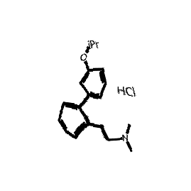 CC(C)Oc1cccc(-c2ccccc2CCN(C)C)c1.Cl